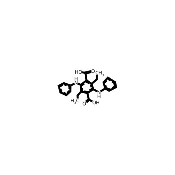 CCc1c(Nc2ccccc2)c(C(=O)O)c(CC)c(Nc2ccccc2)c1C(=O)O